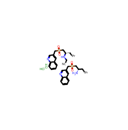 CC(C)C[C@@H](CS(=O)(=O)Cc1cnc2ccccc2c1)NCC#N.CC(C)C[C@H](N)CS(=O)(=O)Cc1cnc2ccccc2c1.Cl.Cl